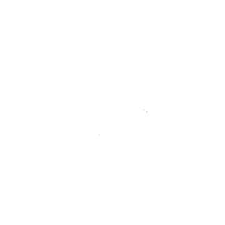 NOCC(O)C(F)P